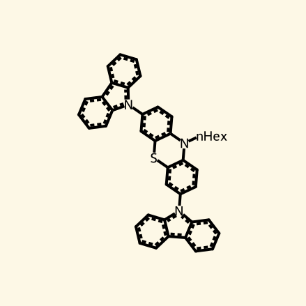 CCCCCCN1c2ccc(-n3c4ccccc4c4ccccc43)cc2Sc2cc(-n3c4ccccc4c4ccccc43)ccc21